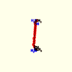 COc1ccc(OCCCC(=O)NCCOCCOCCOCCOCCOCCOCCOCCOCCOCCOCCCCCOCCC(=O)CCCCOCCOCCOCCCCC(=O)c2ccc(COc3ccc(CCc4cnc5c(N)nc6cc(C)ccc6c5c4)c(C)c3)cc2)cc1N